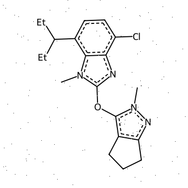 CCC(CC)c1ccc(Cl)c2nc(Oc3c4c(nn3C)CCC4)n(C)c12